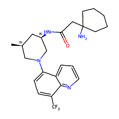 C[C@H]1C[C@@H](NC(=O)CC2(N)CCCCC2)CN(c2ccc(C(F)(F)F)c3ncccc23)C1